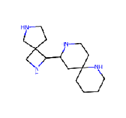 C1CCC2(CCNC(C3NCC34CCNC4)C2)NC1